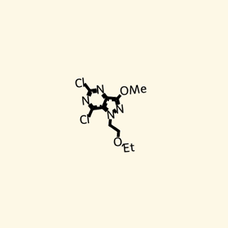 CCOCCn1nc(OC)c2nc(Cl)nc(Cl)c21